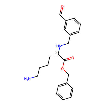 NCCCC[C@H](NCc1cccc(C=O)c1)C(=O)OCc1ccccc1